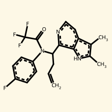 C=CCC(c1nccc2c(C)c(C)[nH]c12)N(C(=O)C(F)(F)F)c1ccc(F)cc1